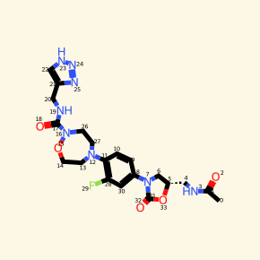 CC(=O)NC[C@H]1CN(c2ccc(N3CCON(C(=O)NCc4c[nH]nn4)CC3)c(F)c2)C(=O)O1